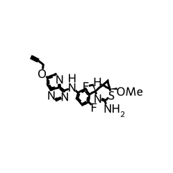 C#CCOc1cnc2c(Nc3ccc(F)c([C@@]4(CF)N=C(N)S[C@@]5(COC)C[C@H]54)c3)ncnc2c1